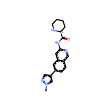 Cn1cc(-c2ccc3cnc(NC(=O)[C@@H]4CCCCN4)cc3c2)cn1